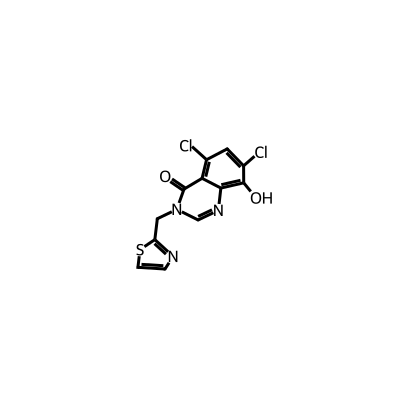 O=c1c2c(Cl)cc(Cl)c(O)c2ncn1Cc1nccs1